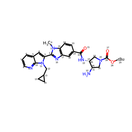 Cn1c(-c2cc3cccnc3n2CC2CC2)nc2cc(C(=O)N[C@@H]3CN(C(=O)OC(C)(C)C)C[C@H]3N)ccc21